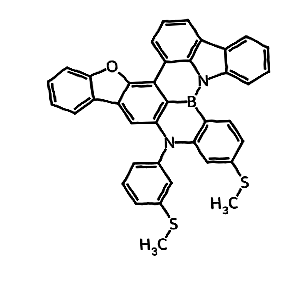 CSc1cccc(N2c3cc(SC)ccc3B3c4c2cc2c(oc5ccccc52)c4-c2cccc4c5ccccc5n3c24)c1